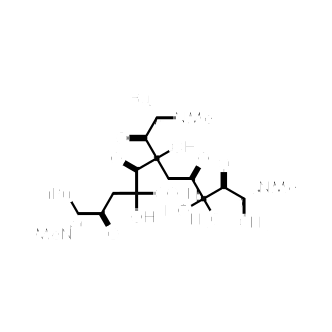 CCC(C)[C@H](NC)C(=O)C(O)(CC(=O)C(C)(O)C(=O)[C@@H](C)NC)C(=O)C(O)(CC(=O)[C@H](NC)C(C)CC)C(=O)O